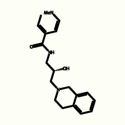 C/C=C(\C=C/NC)C(=O)NC[C@H](O)CN1CCc2ccccc2C1